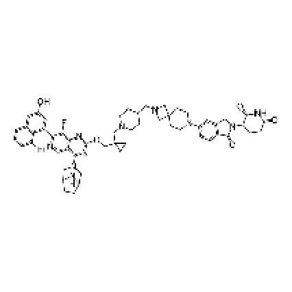 CCc1cccc2cc(O)cc(-c3ncc4c(N5CC6CCC(C5)N6)nc(OCC5(CN6CCC(CN7CC8(CCN(c9ccc%10c(c9)CN(C9CCC(=O)NC9=O)C%10=O)CC8)C7)CC6)CC5)nc4c3F)c12